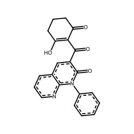 O=C1CCCC(O)=C1C(=O)c1cc2cccnc2n(-c2ccccc2)c1=O